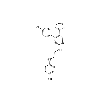 N#Cc1ccc(NCCNc2ncc(-c3ncc[nH]3)c(-c3ccc(Cl)cc3)n2)nc1